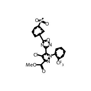 COC(=O)c1nn(-c2ccccc2C(F)(F)F)c(-c2noc(-c3cccc(S(C)(=O)=O)c3)n2)c1Cl